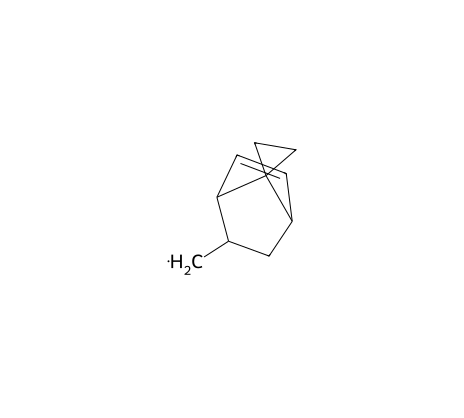 [CH2]C1CC2C=CC1C21CC1